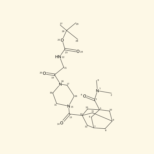 CN(C)C(=O)C12CC3CC(C1)CC(C(=O)N1CCN(C(=O)CNC(=O)OC(C)(C)C)CC1)(C3)C2